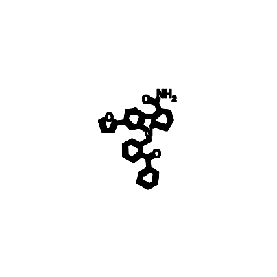 NC(=O)c1cccc2c1c1[c]cc(-c3ccco3)cc1n2Cc1ccccc1C(=O)c1ccccc1